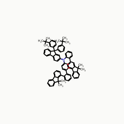 CC(C)(C)c1cccc(C2(c3cccc(C(C)(C)C)c3)c3ccccc3-c3ccc(N(c4ccc(-c5ccccc5-c5cccc6c5C(C)(C)c5ccccc5-6)cc4)c4ccccc4-c4ccc5c(c4)C(C)(C)c4ccccc4-5)cc32)c1